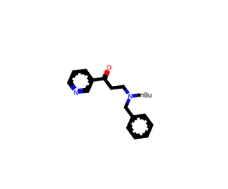 CCCCN(CCC(=O)c1cccnc1)Cc1ccccc1